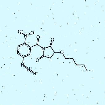 CCCCCOC1CC(=O)N(C(=O)c2cc(N=[N+]=[N-])ccc2[N+](=O)[O-])C1=O